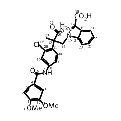 COc1ccc(C(=O)Nc2ccc(C(C)(Cn3nc(C(=O)O)c4ccccc43)C(N)=O)c(Cl)c2)cc1OC